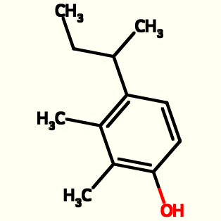 CCC(C)c1ccc(O)c(C)c1C